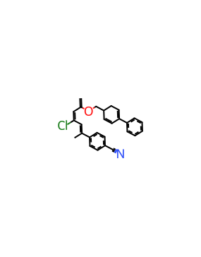 C=C(/C=C(Cl)\C=C(/C)c1ccc(C#N)cc1)OCC1C=CC(c2ccccc2)=CC1